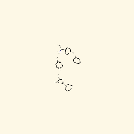 Cc1oc(-c2ccccc2)nc1COc1ccc(CO/N=C(/C(=O)O)c2ccc(Oc3ccccc3)cc2)cc1